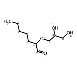 CCCCCC([C]=O)OCC(O)CO